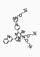 C[Si](C)(C)CCOCN(COCC[Si](C)(C)C)c1c(Br)c(C2=CCN(c3cnn(COCC[Si](C)(C)C)c3)CC2)nc2c(-c3cnc4ccccc4c3)cnn12